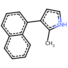 Cc1[nH]ccc1-c1cccc2ccccc12